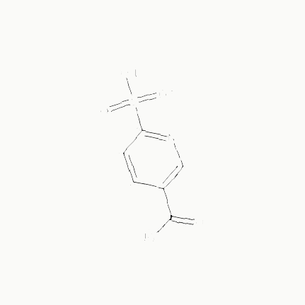 O=C(O)c1ccc(S(=O)(=O)O)nc1